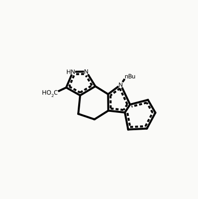 CCCCn1c2c(c3ccccc31)CCc1c-2n[nH]c1C(=O)O